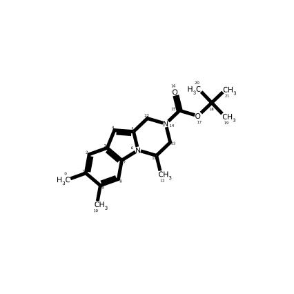 Cc1cc2cc3n(c2cc1C)C(C)CN(C(=O)OC(C)(C)C)C3